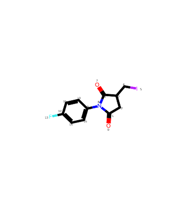 O=C1CC(CI)C(=O)N1c1ccc(F)cc1